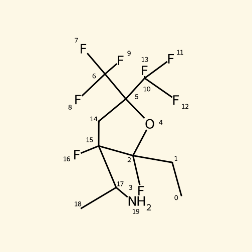 CCC1(F)OC(C(F)(F)F)(C(F)(F)F)CC1(F)C(C)N